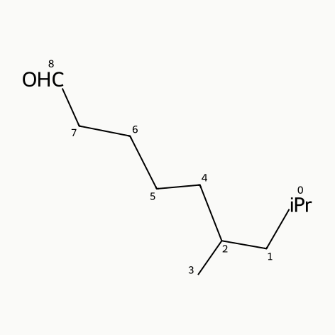 CC(C)CC(C)CCCCC=O